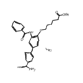 COC(=O)CCCCCOc1ccc(-c2ccc(C(=N)N)cc2)cc1NC(=O)c1ccccc1.Cl